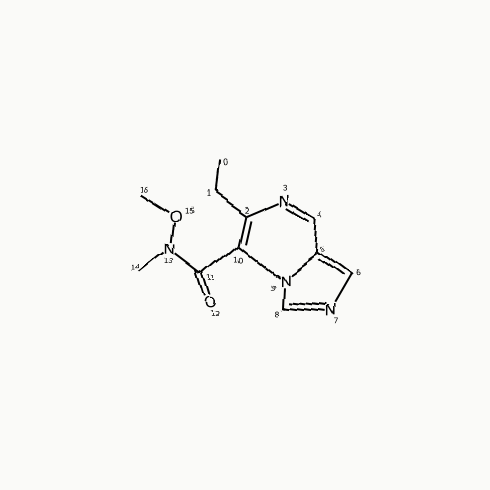 CCc1ncc2cncn2c1C(=O)N(C)OC